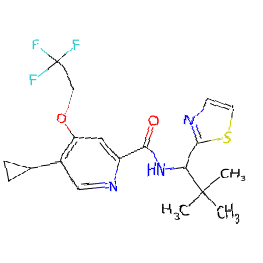 CC(C)(C)C(NC(=O)c1cc(OCC(F)(F)F)c(C2CC2)cn1)c1nccs1